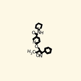 Cc1onc(-c2ccccc2)c1COc1ccc(C(=O)NN2CCCCC2)cn1